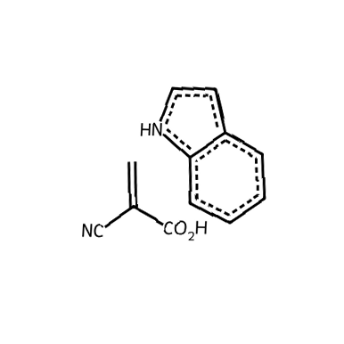 C=C(C#N)C(=O)O.c1ccc2[nH]ccc2c1